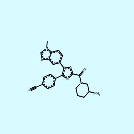 Cn1cnc2cc(-c3sc(C(=O)N4CCCC(N)C4)nc3-c3ccc(C#N)cc3)ccc21